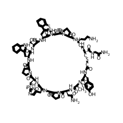 CCCC[C@H]1C(=O)N2CCC[C@@H]2C(=O)N[C@@H](CCCN)CN[C@H](C(=O)NCC(N)=O)CSCC(=O)N[C@@H](Cc2ccc(O)cc2)C(=O)N(C)[C@@H](C)C(=O)N[C@@H](CC(N)=O)C(=O)N2CCC[C@H]2C(=O)N[C@@H](Cc2cnc[nH]2)C(=O)N[C@@H](CC(C)C)C(=O)N2CCC[C@H]2C(=O)N[C@@H](Cc2c[nH]c3ccccc23)C(=O)N[C@@H](CO)C(=O)N[C@@H](Cc2csc3ccccc23)C(=O)N1C